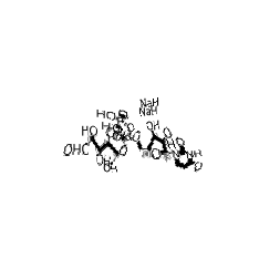 O=C[C@H](O)[C@@H](O)[C@H](O)[C@@H](CO)OP(=O)(OC[C@H]1O[C@@H](n2ccc(=O)[nH]c2=O)[C@H](O)[C@@H]1O)OP(=O)(O)O.[NaH].[NaH]